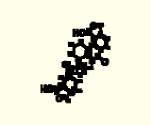 O=C(O)CN(C(=O)c1ccc2c(c1)B(O)OC2)[C@H]1CCCC[C@@H]1NC(=O)c1ccc2c(c1)B(O)OC2